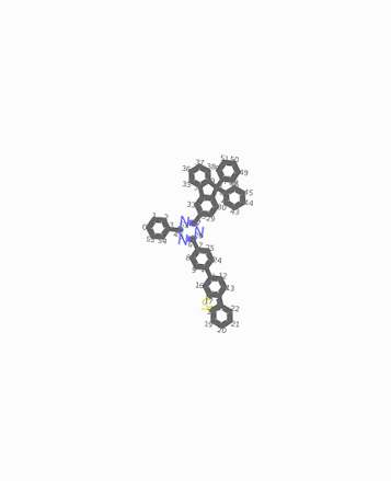 c1ccc(-c2nc(-c3ccc(-c4ccc5c(c4)sc4ccccc45)cc3)nc(-c3ccc4c(c3)-c3ccccc3C4(c3ccccc3)c3ccccc3)n2)cc1